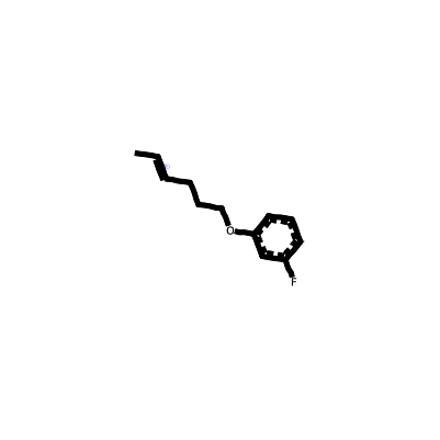 C/C=C/CCCOc1cc[c]c(F)c1